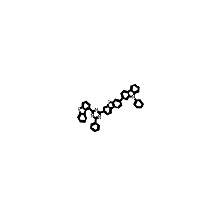 c1ccc(-c2nc(-c3ccc4c(c3)sc3cc(-c5ccc6c7ccccc7n(-c7ccccc7)c6c5)ccc34)nc(-c3cccc4sc5ccccc5c34)n2)cc1